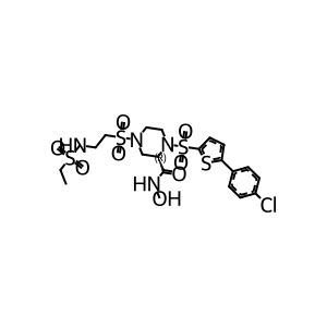 CCS(=O)(=O)NCCS(=O)(=O)N1CCN(S(=O)(=O)c2ccc(-c3ccc(Cl)cc3)s2)[C@@H](C(=O)NO)C1